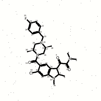 CC1C(C(=O)C(=O)N(C)C)c2cc(C(=O)N3C[C@H](C)N(Cc4ccc(F)cc4)C[C@@H]3C)c(Cl)cc2N1C